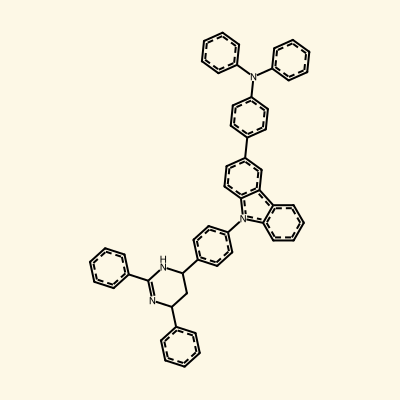 c1ccc(C2=NC(c3ccccc3)CC(c3ccc(-n4c5ccccc5c5cc(-c6ccc(N(c7ccccc7)c7ccccc7)cc6)ccc54)cc3)N2)cc1